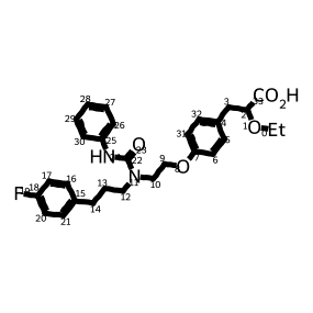 CCOC(Cc1ccc(OCCN(CCCc2ccc(F)cc2)C(=O)Nc2ccccc2)cc1)C(=O)O